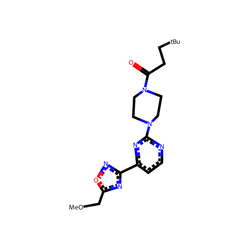 COCc1nc(-c2ccnc(N3CCN(C(=O)CCC(C)(C)C)CC3)n2)no1